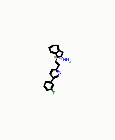 N[C@H]1Cc2ccccc2[C@@H]1C=Cc1ccc(-c2cccc(F)c2)cn1